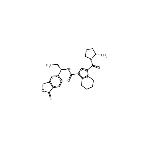 CC[C@@H](NC(=O)c1cc(C(=O)N2CCC[C@@H]2C)n2c1CCCC2)c1ccc2c(c1)COC2=O